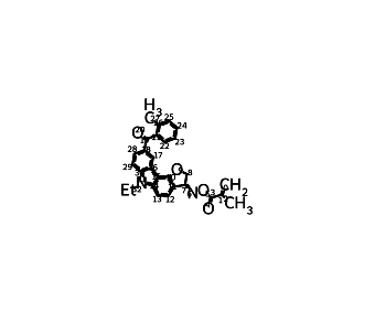 C=C(C)C(=O)O/N=C1\COc2c1ccc1c2c2cc(C(=O)c3ccccc3C)ccc2n1CC